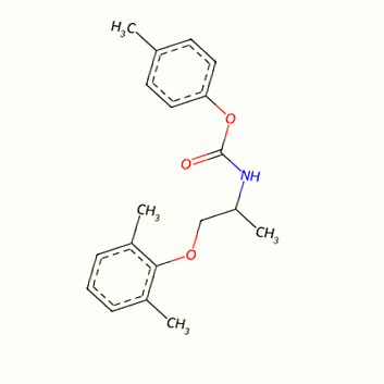 Cc1ccc(OC(=O)NC(C)COc2c(C)cccc2C)cc1